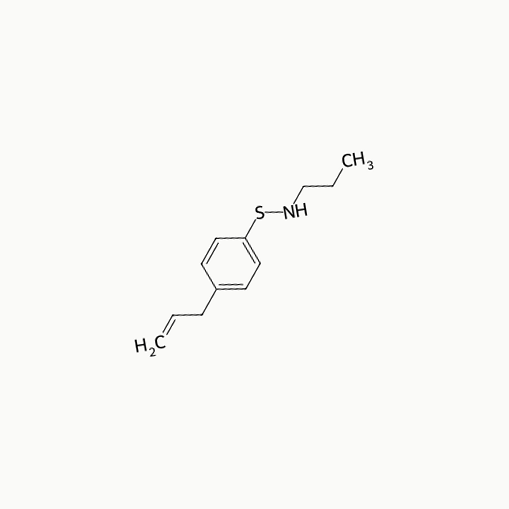 C=CCc1ccc(SNCCC)cc1